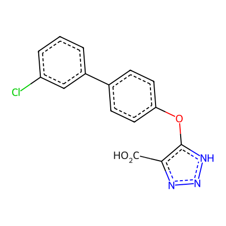 O=C(O)c1nn[nH]c1Oc1ccc(-c2cccc(Cl)c2)cc1